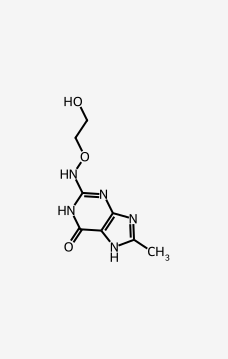 Cc1nc2nc(NOCCO)[nH]c(=O)c2[nH]1